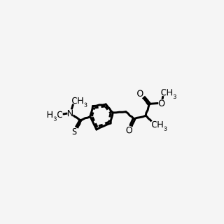 COC(=O)C(C)C(=O)Cc1ccc(C(=S)N(C)C)cc1